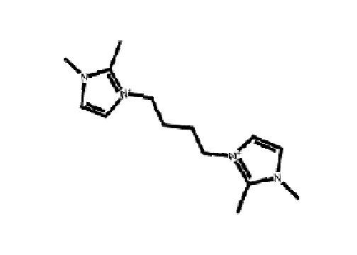 Cc1n(C)cc[n+]1CCCC[n+]1ccn(C)c1C